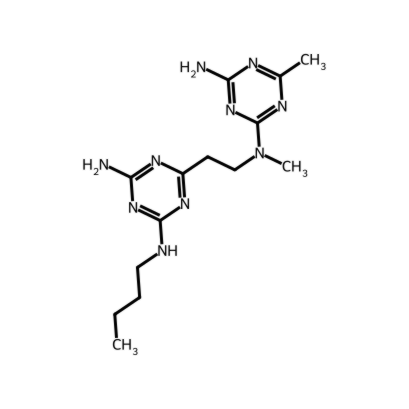 CCCCNc1nc(N)nc(CCN(C)c2nc(C)nc(N)n2)n1